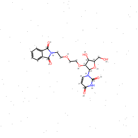 O=C1c2ccccc2C(=O)N1CCOCCOC1C(O)C(CO)OC1n1ccc(=O)[nH]c1=O